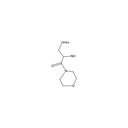 CCCCCCCC([NH])C(=O)N1CCOCC1